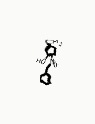 Cc1ccc([N+]([O-])=Cc2ccccc2)c(O)c1